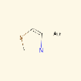 [Au].c1cscn1